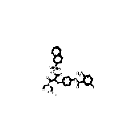 CCN(CC)C(=O)C(Cc1ccc(NC(=O)c2cc(F)ccc2N)cc1)C(=O)NS(=O)(=O)c1ccc2ccccc2c1